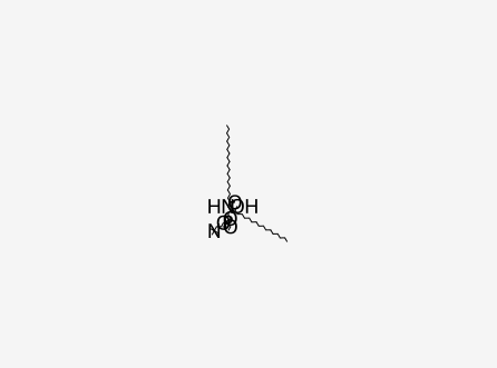 CCCCCCCCCCCCCCCCCCCC(=O)NC(COP(OC)OCC[N+](C)(C)C)C(O)CCCCCCCCCCCCCCC